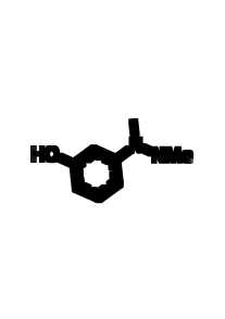 CNN(C)c1cccc(O)c1